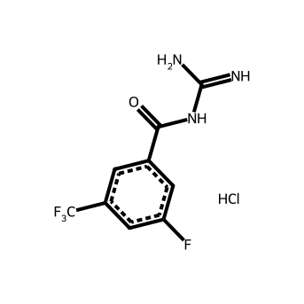 Cl.N=C(N)NC(=O)c1cc(F)cc(C(F)(F)F)c1